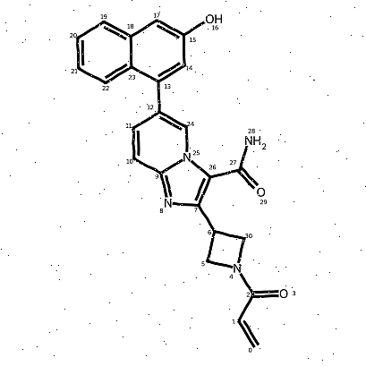 C=CC(=O)N1CC(c2nc3ccc(-c4cc(O)cc5ccccc45)cn3c2C(N)=O)C1